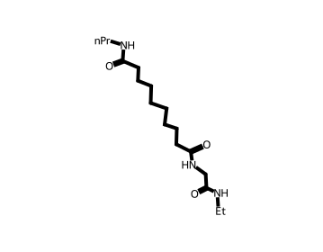 CCCNC(=O)CCCCCCCCC(=O)NCC(=O)NCC